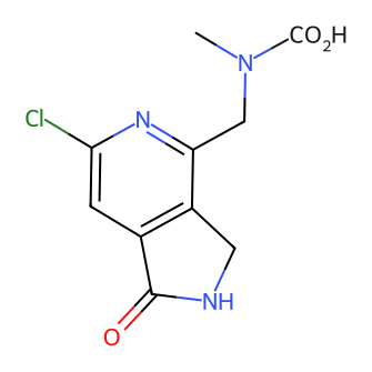 CN(Cc1nc(Cl)cc2c1CNC2=O)C(=O)O